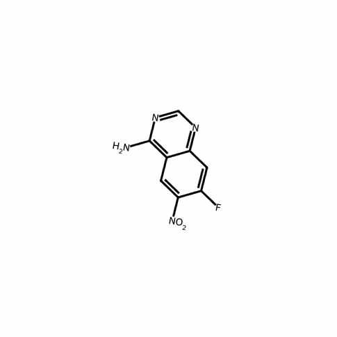 Nc1ncnc2cc(F)c([N+](=O)[O-])cc12